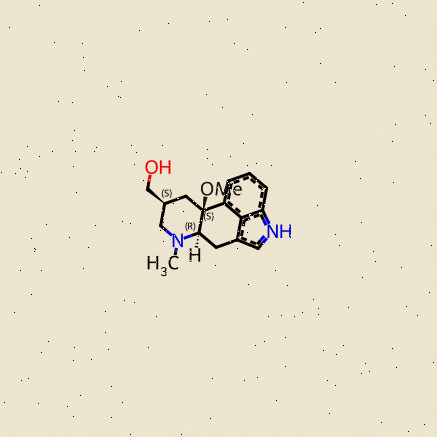 CO[C@]12C[C@H](CO)CN(C)[C@@H]1Cc1c[nH]c3cccc2c13